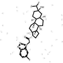 C[C@]12CC[C@H]3[C@@H](CC[C@@H]4C[C@@](O)(C(F)F)CC[C@@H]43)[C@@H]1CC[C@@H]2C(=O)Cn1nnc2ccc(F)cc21